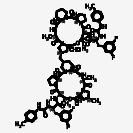 Cc1ccc(NC(=O)N[C@@H](Cc2cc(F)cc(F)c2)C(=O)N[C@@H]2C(=O)N3CCC[C@H]3C(=O)N3CC(C[C@H]4CN5C(=O)[C@H](C)NC(=O)[C@@H]6CCCCN6C(=O)[C@@H]6CCCN6C(=O)[C@@H](NC(=O)[C@H](Cc6cc(F)cc(F)c6)NC(=O)Nc6ccc(C)cc6)C(C)(C)OCC5(C=O)C4)CC[C@H]3C(=O)N[C@@H](C)C(=O)N3C[C@H](C)C[C@H]3C(=O)O[C@@H]2C)cc1